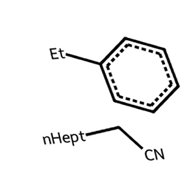 [CH2]CCCCCCCC#N.[CH2]Cc1ccccc1